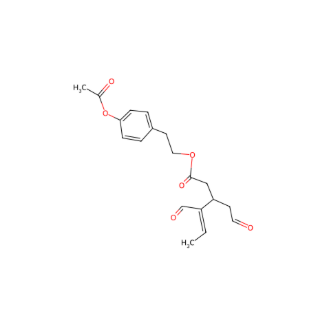 CC=C(C=O)C(CC=O)CC(=O)OCCc1ccc(OC(C)=O)cc1